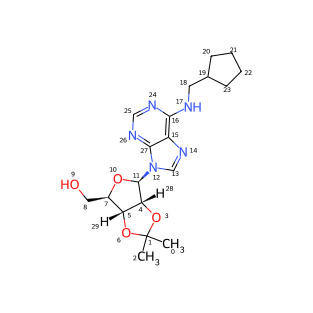 CC1(C)O[C@@H]2[C@H](O1)[C@@H](CO)O[C@H]2n1cnc2c(NCC3CCCC3)ncnc21